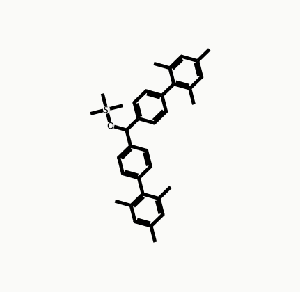 Cc1cc(C)c(-c2ccc(C(O[Si](C)(C)C)c3ccc(-c4c(C)cc(C)cc4C)cc3)cc2)c(C)c1